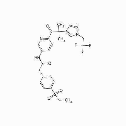 CCS(=O)(=O)c1ccc(CC(=O)Nc2ccc(C(=O)C(C)(C)c3cnn(CC(F)(F)F)c3)nc2)cc1